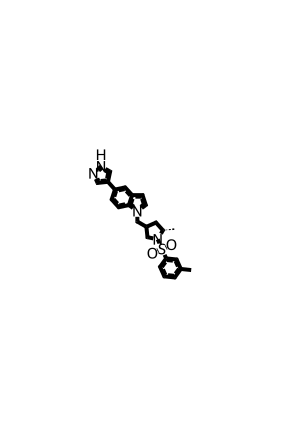 Cc1cccc(S(=O)(=O)N2CC(Cn3ccc4cc(-c5cn[nH]c5)ccc43)C[C@@H]2C)c1